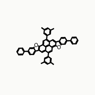 Cc1cc(C)cc(-c2cc3c4oc5cc(-c6ccccc6)ccc5c4cc4c(-c5cc(C)cc(C)c5)cc5c6oc7cc(-c8ccccc8)ccc7c6cc2c5c43)c1